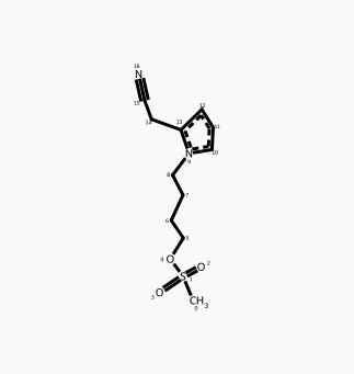 CS(=O)(=O)OCCCCn1cccc1CC#N